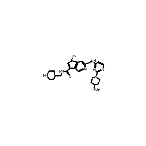 COC1CCN(c2nccc(Nc3cc4c(cn3)c(C(=O)NCC3CCNCC3)cn4C(C)C)n2)CC1